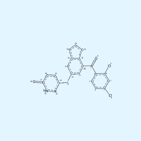 O=C(c1ccc(Cl)cc1Cl)c1cc(Cc2ccc(=O)[nH]n2)cc2ccoc12